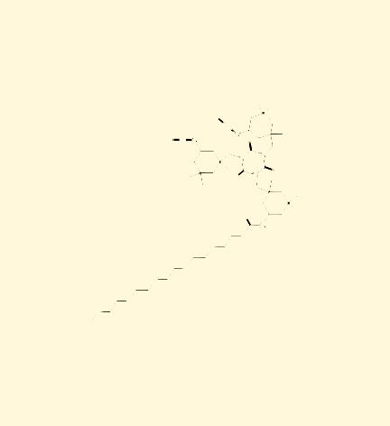 C=C=NC1CC(C)(C)CC(C)(Cn2c(=O)n(CC3(C)CC(N=C=O)CC(C)(C)C3)c(=O)n(CC3(C)CC(NC(=O)OCCOCCOCCOCCOCCOC)CC(C)(C)C3)c2=O)C1